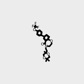 CC1(C)COC(C)(CCN2CCOc3ccc(-c4ccc(OC(F)(F)F)cc4)cc3C2=O)CO1